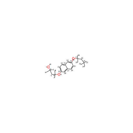 COC(C)(C)CC(C)(C)Oc1ccc2cc(OC(C)(C)CC(C)(C)C)ccc2c1